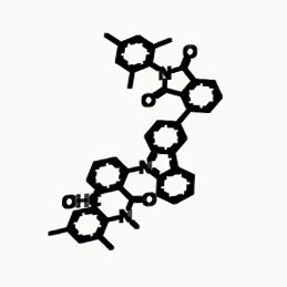 Cc1cc(C)c(N(C)C(=O)c2c(C=O)cccc2-n2c3ccccc3c3cc(-c4cccc5c4C(=O)N(c4c(C)cc(C)cc4C)C5=O)ccc32)c(C)c1